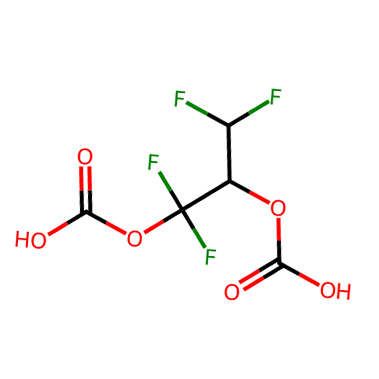 O=C(O)OC(C(F)F)C(F)(F)OC(=O)O